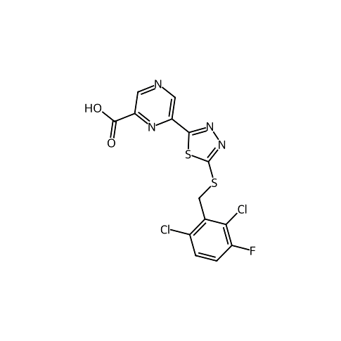 O=C(O)c1cncc(-c2nnc(SCc3c(Cl)ccc(F)c3Cl)s2)n1